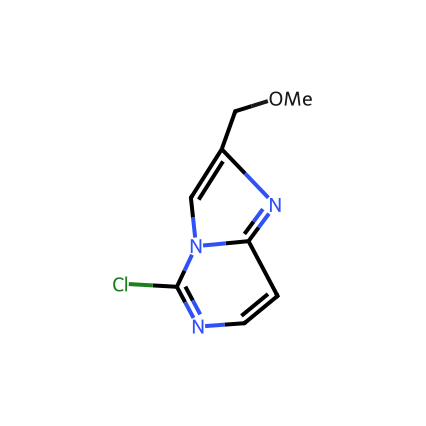 COCc1cn2c(Cl)nccc2n1